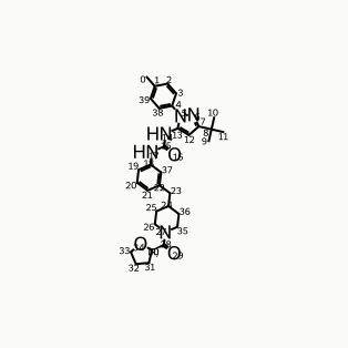 Cc1ccc(-n2nc(C(C)(C)C)cc2NC(=O)Nc2cccc(CC3CCN(C(=O)[C@H]4CCCO4)CC3)c2)cc1